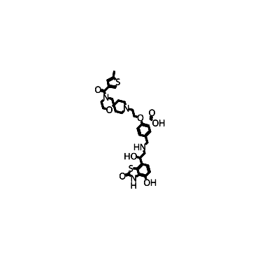 Cc1cc(C(=O)N2CCOC3(CCN(CCOc4ccc(CNCC(O)c5ccc(O)c6[nH]c(=O)sc56)cc4)CC3)C2)cs1.O=CO